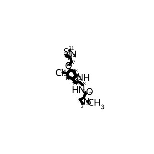 CN1CCC1C(=O)NCc1cc2cc(Cl)c(OCc3cscn3)cc2[nH]1